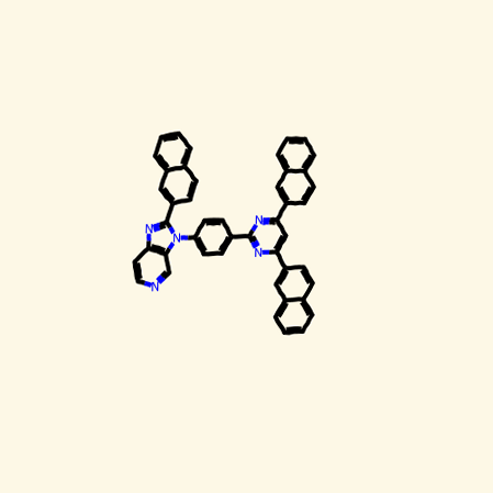 c1ccc2cc(-c3cc(-c4ccc5ccccc5c4)nc(-c4ccc(-n5c(-c6ccc7ccccc7c6)nc6ccncc65)cc4)n3)ccc2c1